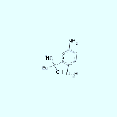 CCC(C)C(O)(O)c1cc(N)ccc1C(=O)O